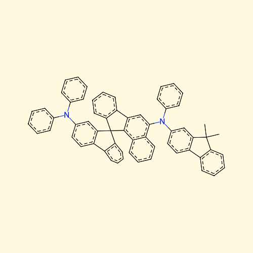 CC1(C)c2ccccc2-c2ccc(N(c3ccccc3)c3cc4c(c5ccccc35)C3(c5ccccc5-c5ccc(N(c6ccccc6)c6ccccc6)cc53)c3ccccc3-4)cc21